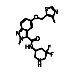 Cc1ncsc1COc1ccc2nn(C)c(C(=O)NC3CNCC(F)(F)C3)c2c1